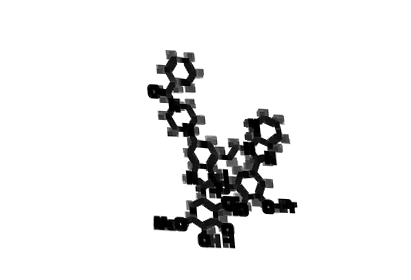 COc1cc(-c2nc3cc(N4CCN(C(=O)c5ccccc5)CC4)cc(CCn4c(-c5cc(O)c(O)c(OC(C)C)c5)nc5cccnc54)c3[nH]2)c(C(F)(F)F)c(O)c1O